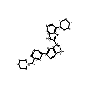 c1ncc(-c2ccc3[nH]nc(-c4nc5c(N6CCCCC6)cncc5[nH]4)c3c2)cc1CN1CCCCC1